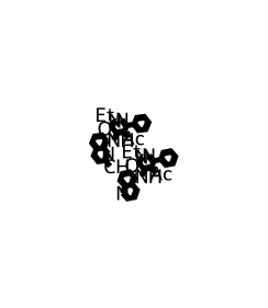 CCn1nc(-c2ccccc2)c(C(C)=O)c(Nc2cccc3ccc(C)nc23)c1=O.CCn1nc(-c2ccccc2)c(C(C)=O)c(Nc2cccc3ncccc23)c1=O